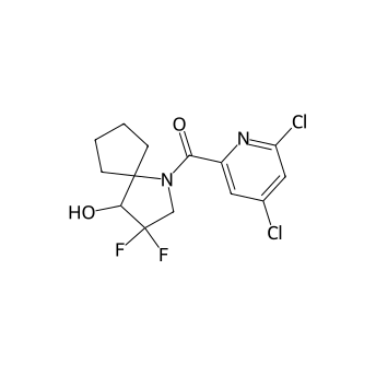 O=C(c1cc(Cl)cc(Cl)n1)N1CC(F)(F)C(O)C12CCCC2